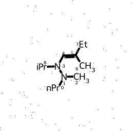 CCCN(C)N(/C=C(\C)CC)C(C)C